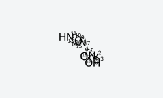 CC(C)(C)N(CCCN1CC2CNCC(C1)O2)C(=O)O